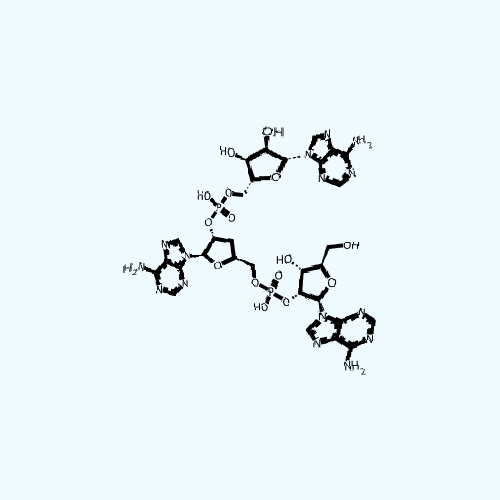 Nc1ncnc2c1ncn2[C@@H]1O[C@H](COP(=O)(O)O[C@@H]2C[C@@H](COP(=O)(O)O[C@@H]3[C@H](O)[C@@H](CO)O[C@H]3n3cnc4c(N)ncnc43)O[C@H]2n2cnc3c(N)ncnc32)[C@@H](O)[C@H]1O